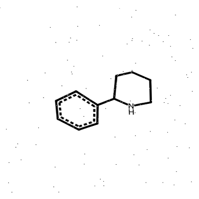 [CH]1CCNC(c2ccccc2)C1